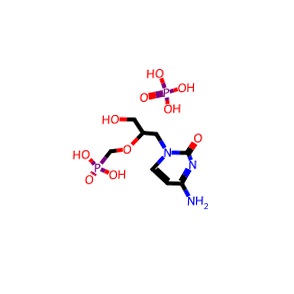 Nc1ccn(CC(CO)OCP(=O)(O)O)c(=O)n1.O=P(O)(O)O